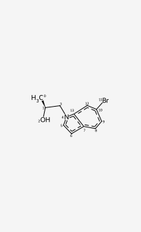 C[C@H](O)Cn1ccc2ccc(Br)cc21